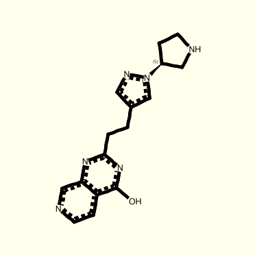 Oc1nc(CCc2cnn([C@H]3CCNC3)c2)nc2cnccc12